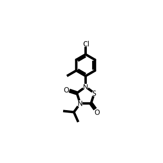 Cc1cc(Cl)ccc1-n1sc(=O)n(C(C)C)c1=O